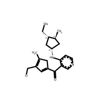 CC1=C(CCl)C=C(C(=O)c2cnccc2N[C@@H]2C[C@H](CO)[C@@H](C)C2)C1